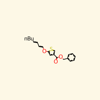 CCCCC=CC=COc1cc(C(=O)OCc2ccccc2)cs1